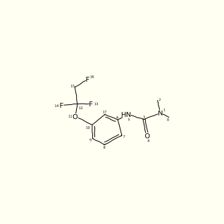 CN(C)C(=O)Nc1cccc(OC(F)(F)CF)c1